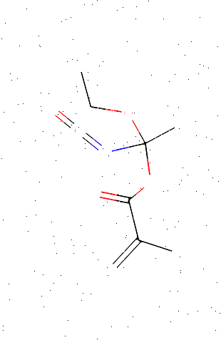 C=C(C)C(=O)OC(C)(N=C=O)OCC